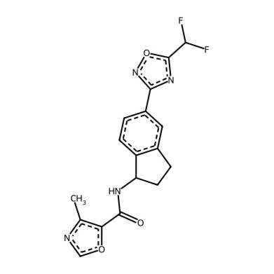 Cc1ncoc1C(=O)NC1CCc2cc(-c3noc(C(F)F)n3)ccc21